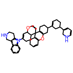 C1=CNCC(C2CCC=C(C3CCC4=C(C3)OC3=C(CCC=C3)C43C4CCCC=C4OC4C=C(n5c6c(c7ccccc75)CNCC6)CCC43)C2)=C1